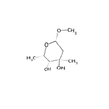 CO[C@@H]1C[C@@](C)(O)[C@H](O)[C@H](C)O1